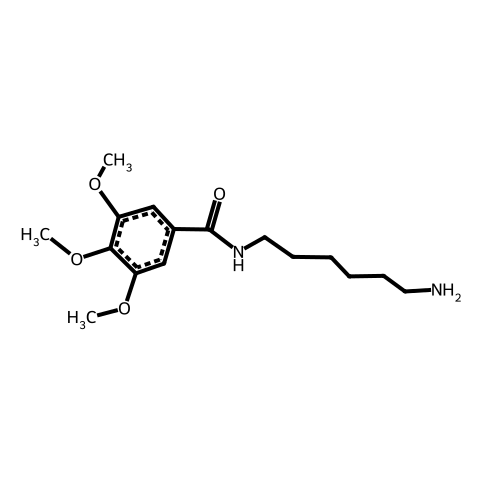 COc1cc(C(=O)NCCCCCCN)cc(OC)c1OC